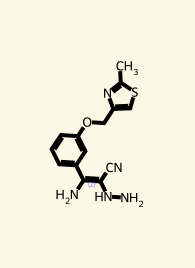 Cc1nc(COc2cccc(/C(N)=C(\C#N)NN)c2)cs1